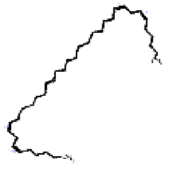 CCCCC/C=C\C/C=C\CCCCCCCC[C]CCCCCCCC/C=C\C/C=C\CCCCC